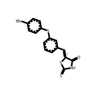 CC(C)(C)c1ccc(Sc2cccc(/C=C3\SC(=S)NC3=O)c2)cc1